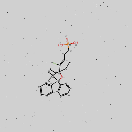 CCC(CC)(O[Si](c1ccccc1)(c1ccccc1)C(C)(C)C)C(F)=CCCP(=O)(O)O